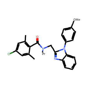 COc1ccc(-n2c(CN(C(=O)c3c(C)cc(Cl)cc3C)C(C)C)nc3ccccc32)cc1